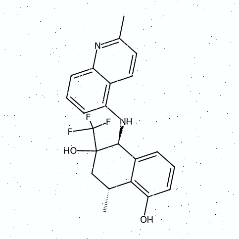 Cc1ccc2c(N[C@H]3c4cccc(O)c4[C@H](C)CC3(O)C(F)(F)F)cccc2n1